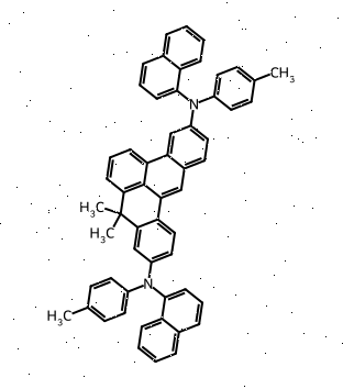 Cc1ccc(N(c2ccc3c(c2)C(C)(C)c2cccc4c2c-3cc2ccc(N(c3ccc(C)cc3)c3cccc5ccccc35)cc24)c2cccc3ccccc23)cc1